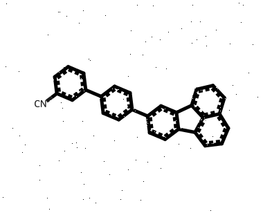 [C-]#[N+]c1cccc(-c2ccc(-c3ccc4c(c3)-c3cccc5cccc-4c35)cc2)c1